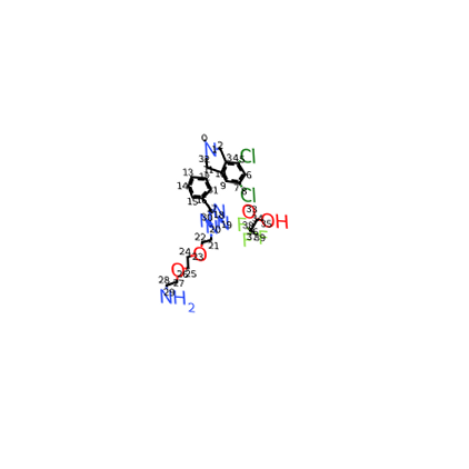 CN1Cc2c(Cl)cc(Cl)cc2[C@H](c2cccc(-c3nnn(CCOCCOCCN)n3)c2)C1.O=C(O)C(F)(F)F